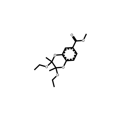 CCOC1(C)Oc2ccc(C(=O)OC)cc2OC1(C)OCC